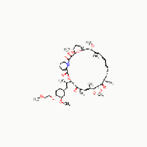 COCCO[C@@H]1CC[C@@H](C[C@@H](C)[C@@H]2CC(=O)[C@H](C)/C=C(\C)[C@@H](O)[C@@H](OC)C(=O)[C@H](C)CC/C=C/C=C/C=C(\C)[C@@H](OC)C[C@@H]3CC[C@@H](C)[C@@](O)(O3)C(=O)C(=O)N3CCCC[C@H]3C(=O)O2)C[C@H]1OC